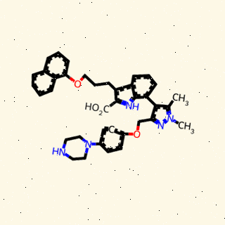 Cc1c(-c2cccc3c(CCCOc4cccc5ccccc45)c(C(=O)O)[nH]c23)c(COc2ccc(N3CCNCC3)cc2)nn1C